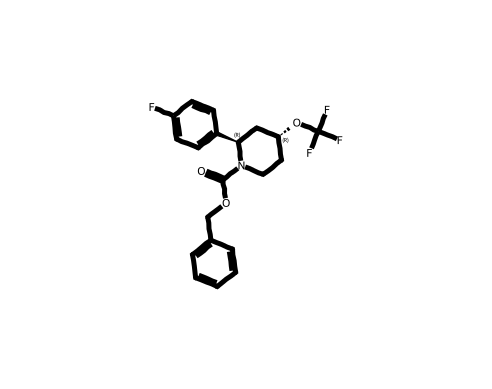 O=C(OCc1ccccc1)N1CC[C@@H](OC(F)(F)F)C[C@@H]1c1ccc(F)cc1